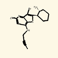 CC#CCNc1cc(Cl)nc2c(Br)c([C@@H]3CCCC[C@H]3N)sc12